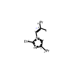 CCc1nc(C(C)C)cn1/C=C(\C)C(C)C